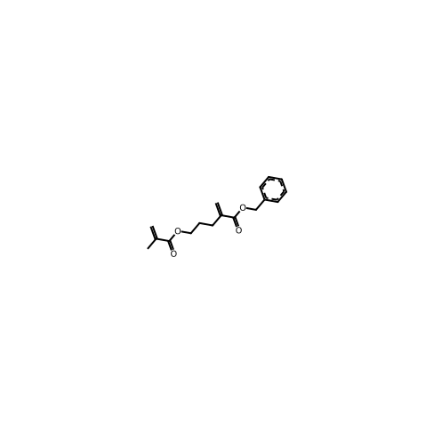 C=C(C)C(=O)OCCCC(=C)C(=O)OCc1ccccc1